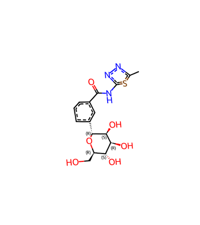 Cc1nnc(NC(=O)c2cccc([C@H]3O[C@H](CO)[C@@H](O)[C@H](O)[C@@H]3O)c2)s1